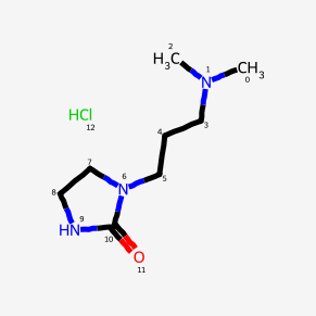 CN(C)CCCN1CCNC1=O.Cl